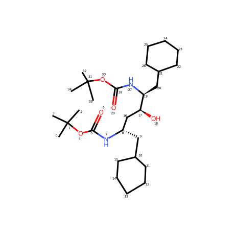 CC(C)(C)OC(=O)N[C@@H](CC1CCCCC1)C[C@H](O)[C@H](CC1CCCCC1)NC(=O)OC(C)(C)C